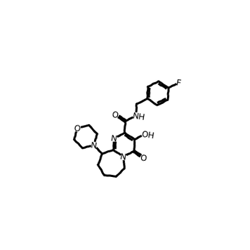 O=C(NCc1ccc(F)cc1)c1nc2n(c(=O)c1O)CCCCC2N1CCOCC1